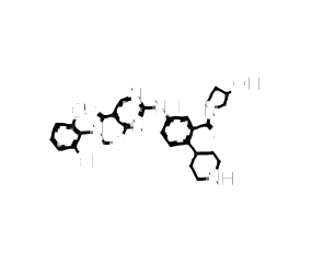 O=C(c1cc(Nc2ncc3c(n2)OCN(c2c(Cl)cccc2Cl)C3=O)ccc1C1CCNCC1)N1CCC(O)C1